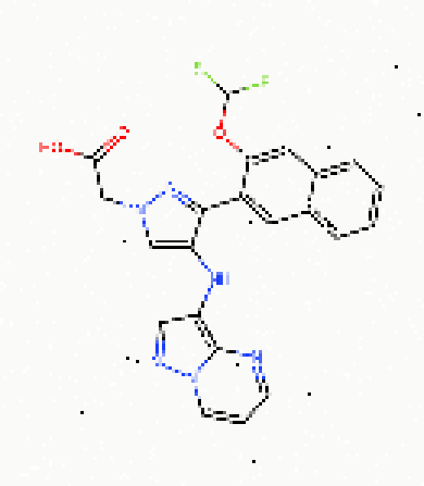 O=C(O)Cn1cc(Nc2cnn3cccnc23)c(-c2cc3ccccc3cc2OC(F)F)n1